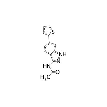 CC(=O)Nc1n[nH]c2cc(-c3cccs3)ccc12